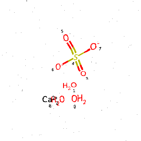 O.O.O.O=S(=O)([O-])[O-].[Ca+2]